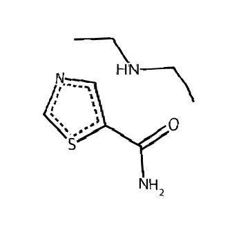 CCNCC.NC(=O)c1cncs1